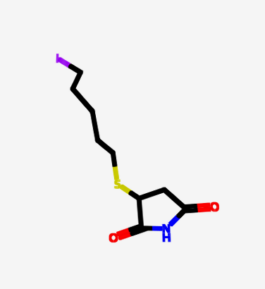 O=C1CC(SCCCCCI)C(=O)N1